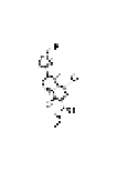 CCOC(=O)c1cc(C2CC2)c2c(C)c(-c3ccc(CBr)s3)ccn2c1=O